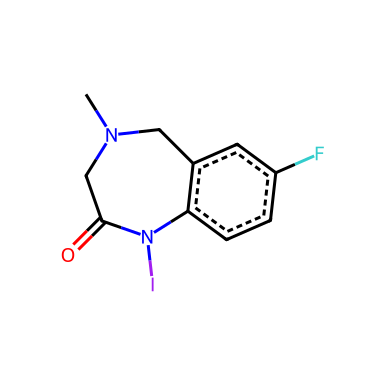 CN1CC(=O)N(I)c2ccc(F)cc2C1